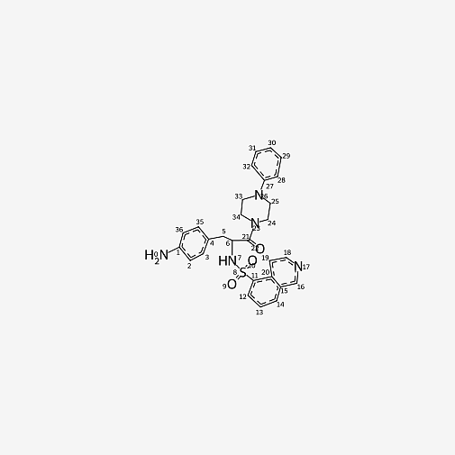 Nc1ccc(CC(NS(=O)(=O)c2cccc3cnccc23)C(=O)N2CCN(c3ccccc3)CC2)cc1